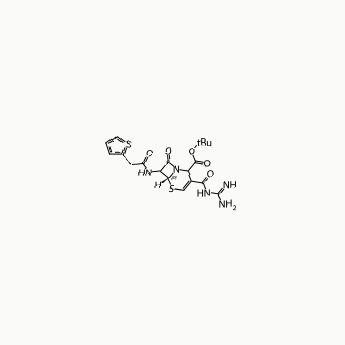 CC(C)(C)OC(=O)C1C(C(=O)NC(=N)N)=CS[C@@H]2C(NC(=O)Cc3cccs3)C(=O)N12